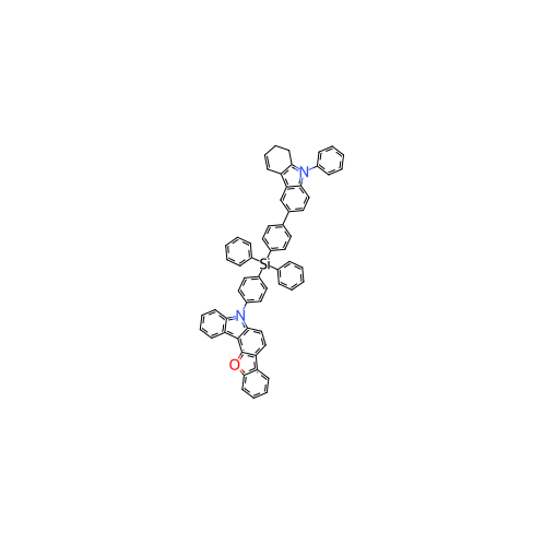 C1=Cc2c(n(-c3ccccc3)c3ccc(-c4ccc([Si](c5ccccc5)(c5ccccc5)c5ccc(-n6c7ccccc7c7c8oc9ccccc9c8ccc76)cc5)cc4)cc23)CC1